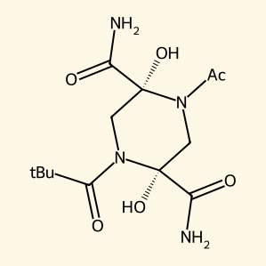 CC(=O)N1C[C@@](O)(C(N)=O)N(C(=O)C(C)(C)C)C[C@@]1(O)C(N)=O